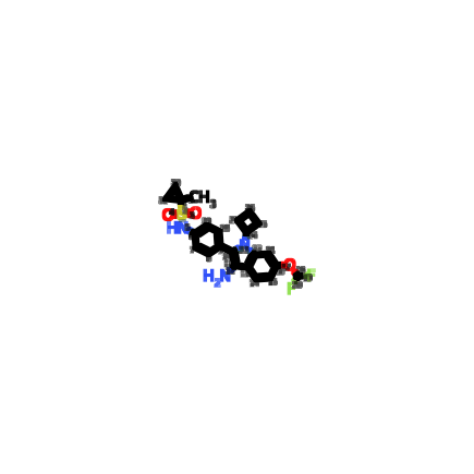 CC1(S(=O)(=O)Nc2ccc(-c3c(N)c4ccc(OC(F)F)cc4n3C3CCC3)cc2)CC1